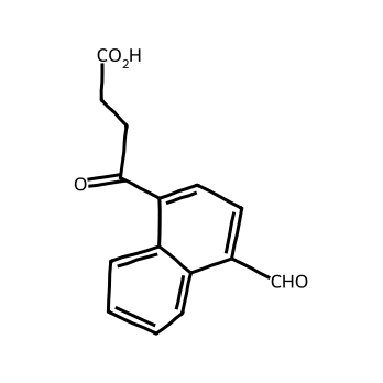 O=Cc1ccc(C(=O)CCC(=O)O)c2ccccc12